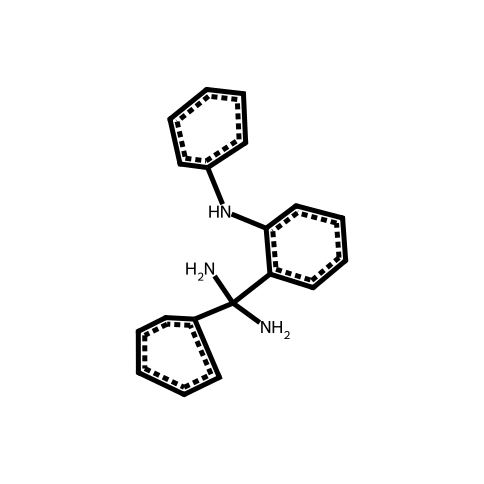 NC(N)(c1ccccc1)c1ccccc1Nc1ccccc1